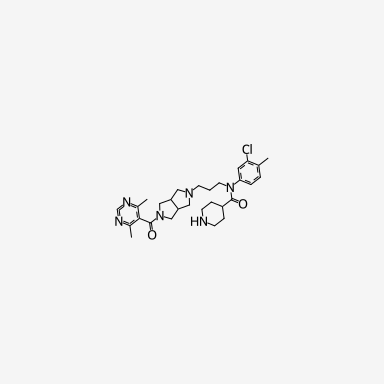 Cc1ccc(N(CCCN2CC3CN(C(=O)c4c(C)ncnc4C)CC3C2)C(=O)C2CCNCC2)cc1Cl